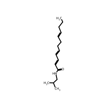 CCCC=CCCC=CC=CC(=O)NCC(C)C